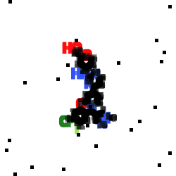 Cn1cc(C(c2ccc(Cl)c(F)c2)n2ccc(-c3ccnc(N[C@H]4CCO[C@@H](CO)C4)n3)cc2=O)cn1